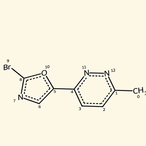 Cc1ccc(-c2cnc(Br)o2)nn1